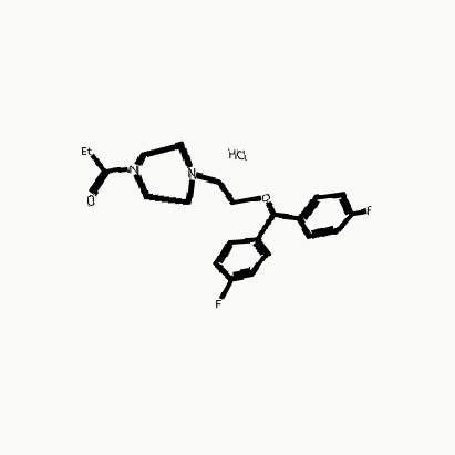 CCC(=O)N1CCN(CCOC(c2ccc(F)cc2)c2ccc(F)cc2)CC1.Cl